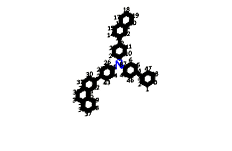 c1ccc(-c2ccc(N(c3ccc(-c4ccc5ccccc5c4)cc3)c3ccc(-c4ccc5ccc6ccccc6c5c4)cc3)cc2)cc1